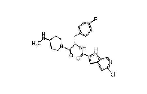 CNC1CCN(C(=O)[C@H](Cc2ccc(F)cc2)NC(=O)c2cc3cc(Cl)ncc3[nH]2)CC1